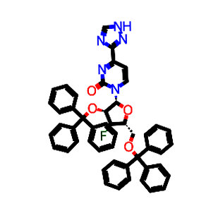 O=c1nc(-c2nc[nH]n2)ccn1[C@@H]1O[C@H](COC(c2ccccc2)(c2ccccc2)c2ccccc2)[C@H](F)[C@H]1OC(c1ccccc1)(c1ccccc1)c1ccccc1